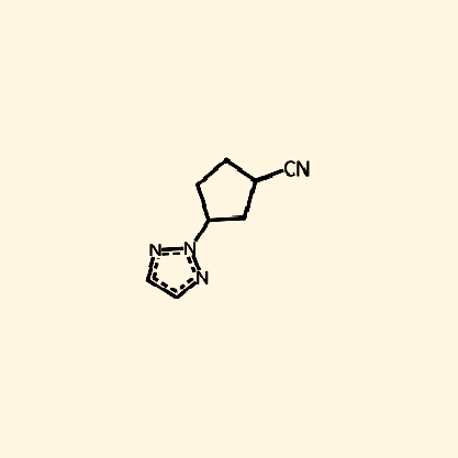 N#CC1CCC(n2nccn2)C1